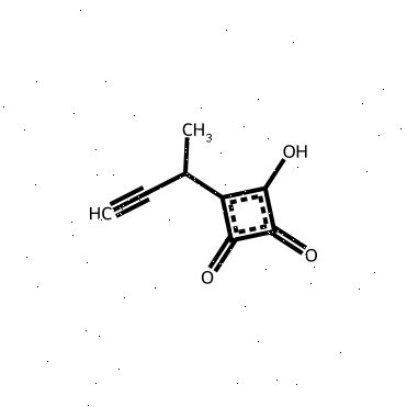 C#CC(C)c1c(O)c(=O)c1=O